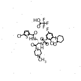 CN1CCN(C(=O)[C@H](CNC(=O)c2ccc(Cl)s2)NS(=O)(=O)c2cc(F)cc(N3CCCCC3=O)c2Cl)CC1.O=C(O)C(F)(F)F